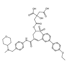 CCOc1ccc(-c2ccc3c(c2)C=C(C(=O)Nc2ccc(CN(C)C4CCOCC4)cc2)CC(OC(=O)CC(O)(CC(=O)O)C(=O)O)S3(=O)=O)cc1